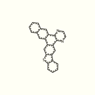 c1ccc2cc3c(cc2c1)c1cc2sc4ccccc4c2cc1c1nccnc31